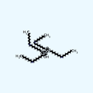 CCCCCCCC/C=C\CCCCCCCCOP(=O)(CN(CCO)CP(=O)(OCCCCCCCC/C=C\CCCCCCCC)OCCCCCCCC/C=C\CCCCCCCC)OCCCCCCCC/C=C\CCCCCCCC